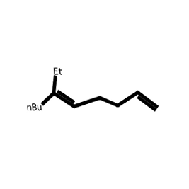 C=CCC/C=C(\CC)CCCC